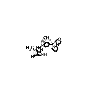 CNc1nc(Nc2ccc(C(=O)N3CCCCC3N3CCOCC3)cc2OC)nc2[nH]cc(C#N)c12